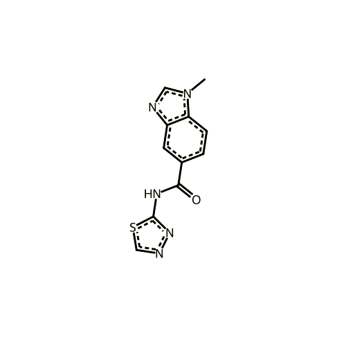 Cn1cnc2cc(C(=O)Nc3nncs3)ccc21